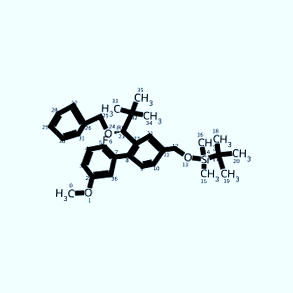 COc1ccc(F)c(-c2ccc(CO[Si](C)(C)C(C)(C)C)cc2[C@H](OCc2ccccc2)C(C)(C)C)c1